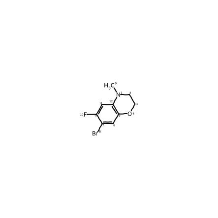 CN1CCOc2cc(Br)c(F)cc21